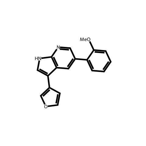 COc1ccccc1-c1cnc2[nH]cc(-c3ccoc3)c2c1